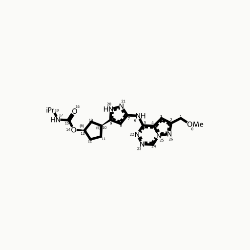 COCc1cc2c(Nc3cc([C@H]4CC[C@@H](OC(=O)NC(C)C)C4)[nH]n3)nncn2n1